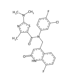 Cc1nc(N(C)C)sc1C(=O)N(Cc1cc(=O)[nH]c2c(F)cccc12)c1ccc(F)c(Cl)c1